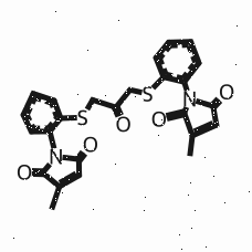 CC1=CC(=O)N(c2ccccc2SCC(=O)CSc2ccccc2N2C(=O)C=C(C)C2=O)C1=O